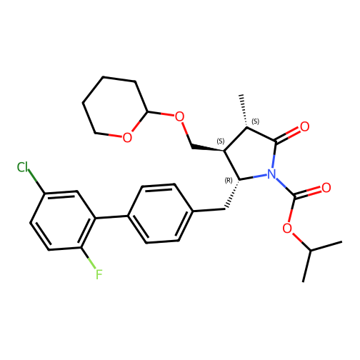 CC(C)OC(=O)N1C(=O)[C@@H](C)[C@H](COC2CCCCO2)[C@H]1Cc1ccc(-c2cc(Cl)ccc2F)cc1